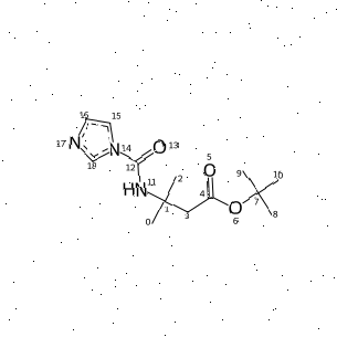 CC(C)(CC(=O)OC(C)(C)C)NC(=O)n1ccnc1